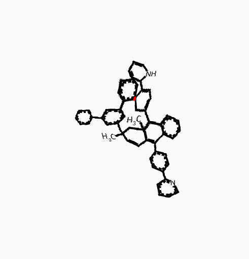 CC1(c2cc(-c3ccccc3)cc(-c3ccccc3)c2)C=CC2=C(c3ccc(-c4ccccn4)cc3)c3ccccc3C(C3=CC=C(C4C=CC=CN4)CC3)C2(C)C1